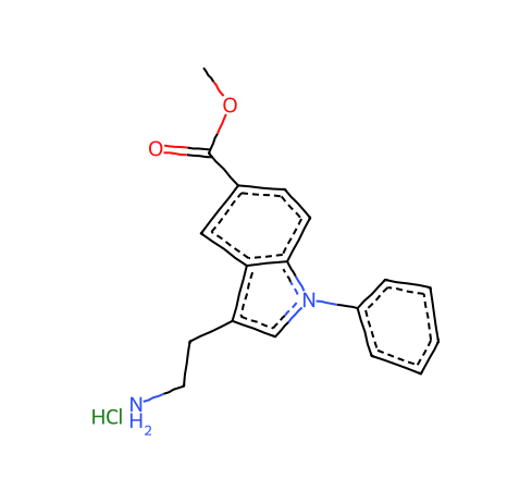 COC(=O)c1ccc2c(c1)c(CCN)cn2-c1ccccc1.Cl